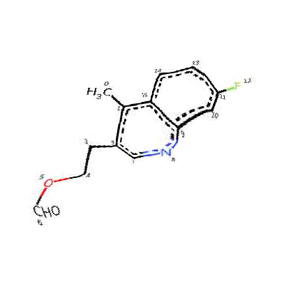 Cc1c(CCOC=O)cnc2cc(F)ccc12